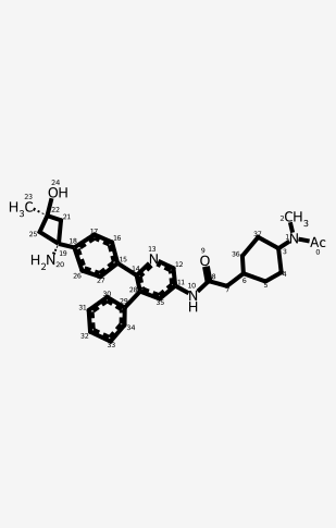 CC(=O)N(C)C1CCC(CC(=O)Nc2cnc(-c3ccc([C@]4(N)C[C@](C)(O)C4)cc3)c(-c3ccccc3)c2)CC1